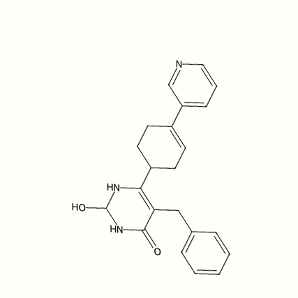 O=C1NC(O)NC(C2CC=C(c3cccnc3)CC2)=C1Cc1ccccc1